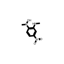 CNc1cc([N+](=O)[O-])ccc1N(C)O